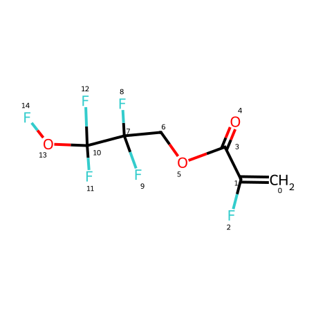 C=C(F)C(=O)OCC(F)(F)C(F)(F)OF